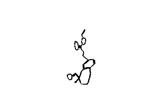 CCOC(=O)CCc1ccc2c(c1)C(C)(C=O)CCC2